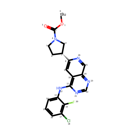 CC(C)(C)OC(=O)N1CC[C@@H](c2cc3c(Nc4cccc(Cl)c4F)ncnc3cn2)C1